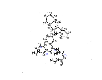 C=C(N)/C=C\N/N=C(\CC(/C=C\C)=C/N)c1cccc(-n2c3c(c4c2CC2CCC=CC2=C4)C=CCC3)c1